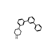 c1ccc(-c2cccc(-c3cccc(N4CCNCC4)c3)c2)cc1